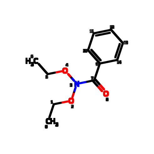 CCON(OCC)C(=O)c1ccccc1